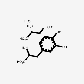 CCOC(=O)CCC(=O)O.N[C@@H](Cc1ccc(O)c(O)c1)C(=O)O.O.O